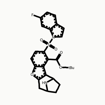 CC(C)(C)OC(=O)c1c(S(=O)(=O)n2ccc3ccc(F)cc32)ccc2oc3c(c12)C1CCC(C3)N1